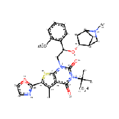 COc1ccccc1C(Cn1c(=O)n(C(C)(C)C(=O)O)c(=O)c2c(C)c(-c3ncco3)sc21)O[C@@H]1CC2CC1CN2C(C)=O